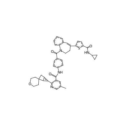 Cc1cnc(C2=C3CC4(CCOCC4)C32)c(C(=O)Nc2ccc(C(=O)N3CCC(c4ccc(C(=O)NC5CC5)s4)=Cc4ccccc43)cc2)c1